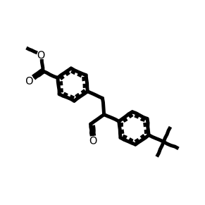 COC(=O)c1ccc(CC(C=O)c2ccc(C(C)(C)C)cc2)cc1